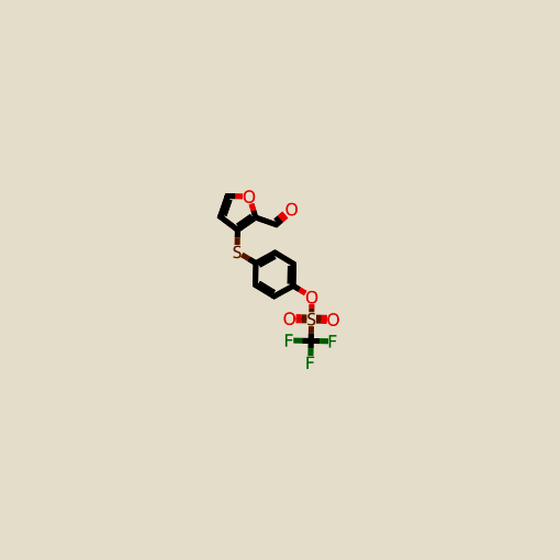 O=Cc1occc1Sc1ccc(OS(=O)(=O)C(F)(F)F)cc1